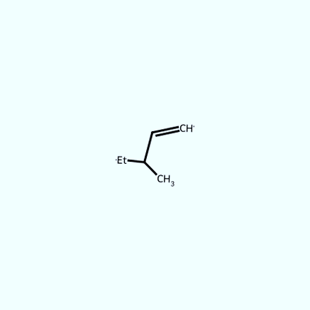 [CH]=CC(C)[CH]C